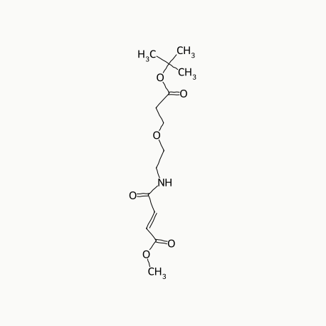 COC(=O)/C=C/C(=O)NCCOCCC(=O)OC(C)(C)C